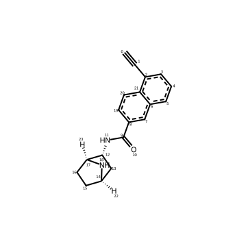 C#Cc1cccc2cc(C(=O)N[C@@H]3C[C@H]4CC[C@@H]3N4)ccc12